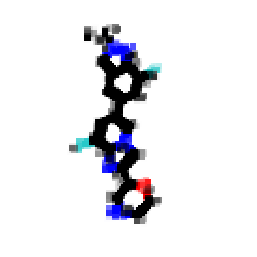 Cn1cc2cc(-c3cc(F)c4nc([C@@H]5CNCCO5)cn4c3)cc(F)c2n1